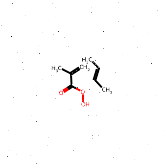 C=C(C)C(=O)OO.CC=CC